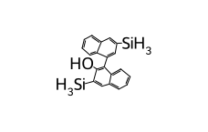 Oc1c([SiH3])cc2ccccc2c1-c1cc([SiH3])cc2ccccc12